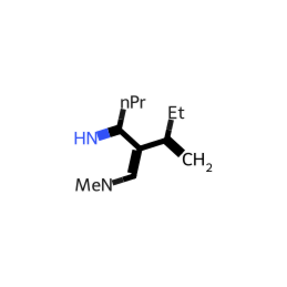 C=C(CC)/C(=C/NC)C(=N)CCC